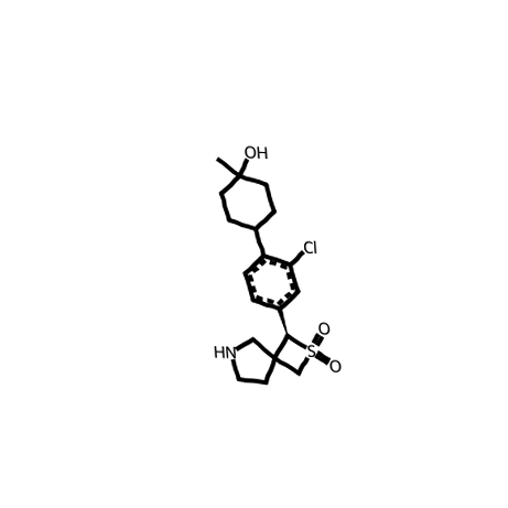 CC1(O)CCC(c2ccc([C@@H]3C4(CCNC4)CS3(=O)=O)cc2Cl)CC1